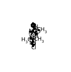 COCC1(n2c(NSC(C)C(OC)c3ncc(Cl)cn3)nnc2-c2cnn3ccccc23)CC1